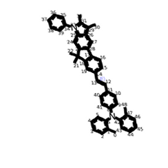 Cc1ccccc1N(c1ccc(/C=C/c2ccc3c(c2)C(C)(C)c2cc4c(cc2-3)c(C)c(C)n4-c2ccccc2)cc1)c1ccccc1C